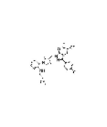 O=c1n(Cc2ncn(-c3cccnc3NCCC(F)(F)F)n2)nc(-c2ccc(Cl)cc2)n1CC(O)C(F)(F)F